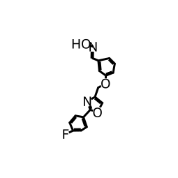 O/N=C/c1cccc(OCc2coc(-c3ccc(F)cc3)n2)c1